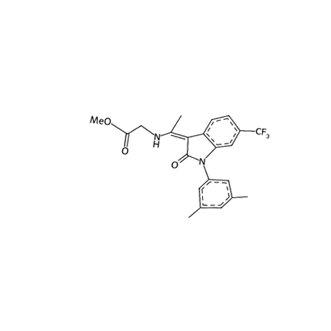 COC(=O)CN/C(C)=C1\C(=O)N(c2cc(C)cc(C)c2)c2cc(C(F)(F)F)ccc21